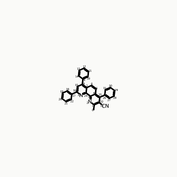 Cc1nc2c(ccc3c(-c4ccccc4)cc(-c4ccccc4)nc32)c(-c2ccccc2)c1C#N